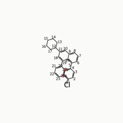 Clc1ccc(-c2cccc3cc(C4CCCCC4)cc(-c4ccccc4)c23)cc1